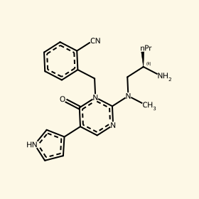 CCC[C@@H](N)CN(C)c1ncc(-c2cc[nH]c2)c(=O)n1Cc1ccccc1C#N